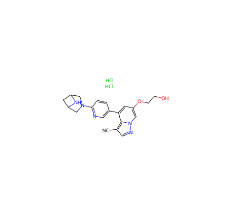 Cl.Cl.N#Cc1cnn2cc(OCCO)cc(-c3ccc(N4CC5CC(C4)N5)nc3)c12